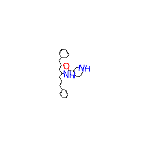 O=C(NC(CCCc1ccccc1)CCCc1ccccc1)C1CCCNC1